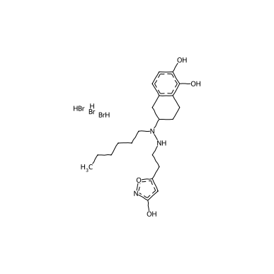 Br.Br.Br.CCCCCCN(NCCc1cc(O)no1)C1CCc2c(ccc(O)c2O)C1